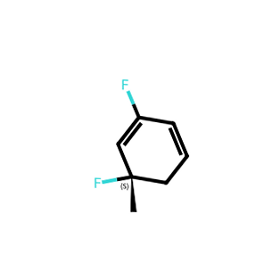 C[C@@]1(F)C=C(F)C=CC1